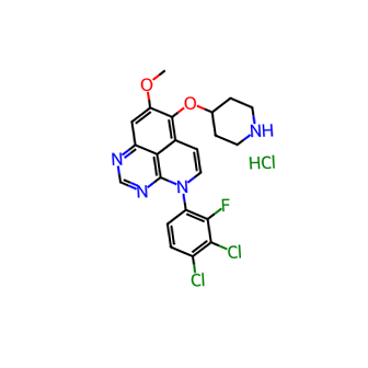 COc1cc2ncnc3c2c(c1OC1CCNCC1)C=CN3c1ccc(Cl)c(Cl)c1F.Cl